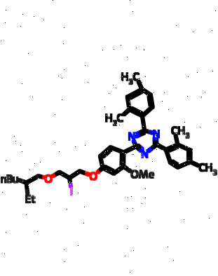 CCCCC(CC)COCC(I)COc1ccc(-c2nc(-c3ccc(C)cc3C)nc(-c3ccc(C)cc3C)n2)c(OC)c1